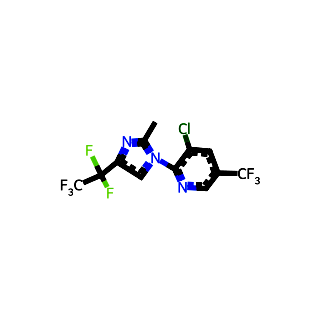 Cc1nc(C(F)(F)C(F)(F)F)cn1-c1ncc(C(F)(F)F)cc1Cl